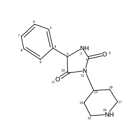 O=C1NC(c2ccccc2)C(=O)N1C1CCNCC1